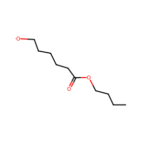 CCCCOC(=O)CCCCC[O]